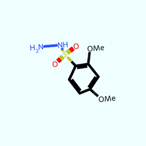 COc1ccc(S(=O)(=O)NN)c(OC)c1